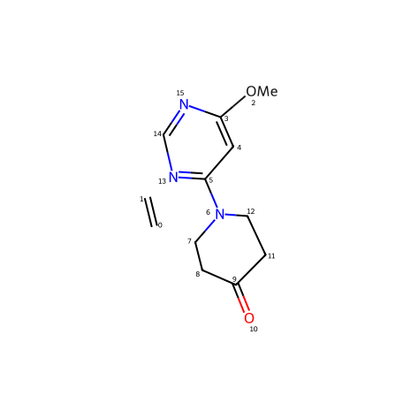 C=C.COc1cc(N2CCC(=O)CC2)ncn1